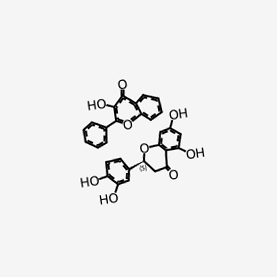 O=C1C[C@@H](c2ccc(O)c(O)c2)Oc2cc(O)cc(O)c21.O=c1c(O)c(-c2ccccc2)oc2ccccc12